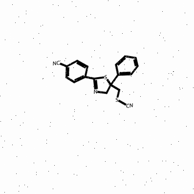 N#CSCC1(c2ccccc2)CN=C(c2ccc(C#N)cc2)S1